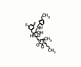 CCCCN1C(=O)C(=O)N(CC(=O)N[C@@H](Cc2cc(F)cc(F)c2)[C@H](O)CNCc2cccc(CC)c2)C[C@H]1C